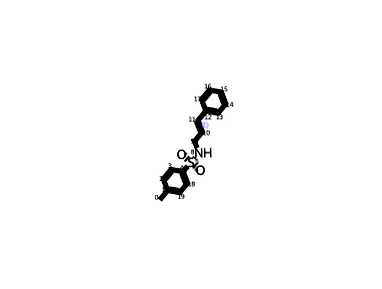 Cc1ccc(S(=O)(=O)NC/C=C/c2ccccc2)cc1